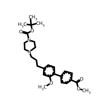 COC(=O)c1ccc(-c2ccc(CCCN3CCN(C(=O)OC(C)(C)C)CC3)cc2OC)cc1